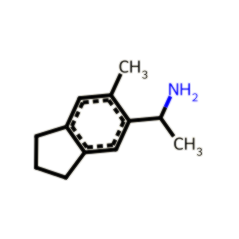 Cc1cc2c(cc1C(C)N)CCC2